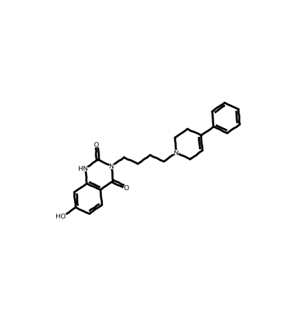 O=c1[nH]c2cc(O)ccc2c(=O)n1CCCCN1CC=C(c2ccccc2)CC1